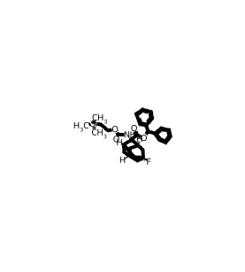 C[Si](C)(C)CCOC(=O)N[C@@]1(C(=O)OC(c2ccccc2)c2ccccc2)[C@@H]2C[C@@H]3C[C@H]1C[C@@](F)(C3)C2